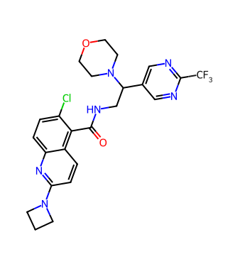 O=C(NCC(c1cnc(C(F)(F)F)nc1)N1CCOCC1)c1c(Cl)ccc2nc(N3CCC3)ccc12